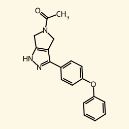 CC(=O)N1Cc2[nH]nc(-c3ccc(Oc4ccccc4)cc3)c2C1